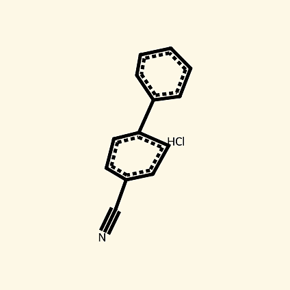 Cl.N#Cc1ccc(-c2ccccc2)cc1